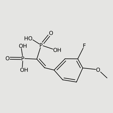 COc1ccc(C=C(P(=O)(O)O)P(=O)(O)O)cc1F